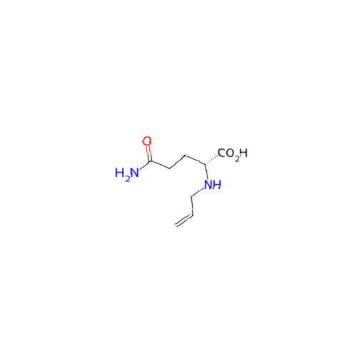 C=CCN[C@H](CCC(N)=O)C(=O)O